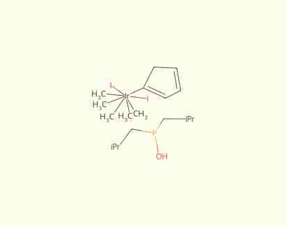 CC(C)CP(O)CC(C)C.[CH3][Ir]([CH3])([CH3])([CH3])([CH3])([I])([I])[C]1=CC=CC1